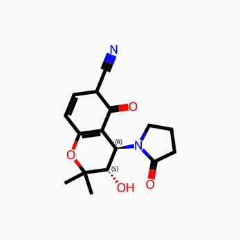 CC1(C)OC2=C(C(=O)C(C#N)C=C2)[C@@H](N2CCCC2=O)[C@@H]1O